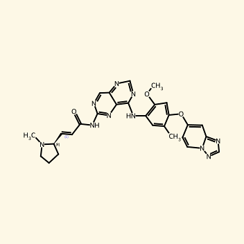 COc1cc(Oc2ccn3ncnc3c2)c(C)cc1Nc1ncnc2cnc(NC(=O)/C=C/[C@H]3CCCN3C)nc12